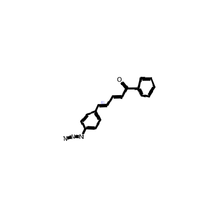 [N-]=[N+]=Nc1ccc(/C=C/C=CC(=O)c2ccccc2)cc1